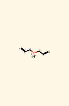 C=CCOCC=C.[H+]